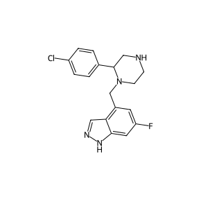 Fc1cc(CN2CCNCC2c2ccc(Cl)cc2)c2cn[nH]c2c1